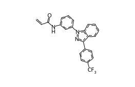 C=CC(=O)Nc1cccc(-n2nc(-c3ccc(C(F)(F)F)cc3)c3ccccc32)c1